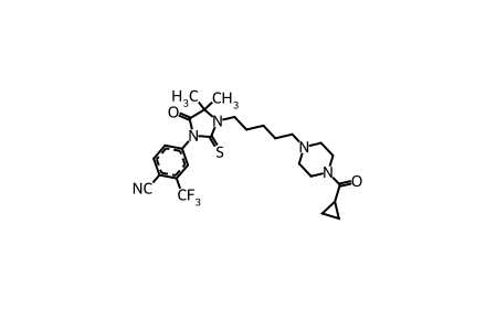 CC1(C)C(=O)N(c2ccc(C#N)c(C(F)(F)F)c2)C(=S)N1CCCCCN1CCN(C(=O)C2CC2)CC1